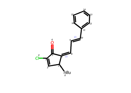 CCCCC1C=C(Cl)C(=O)/C1=C\C=C\c1ccccc1